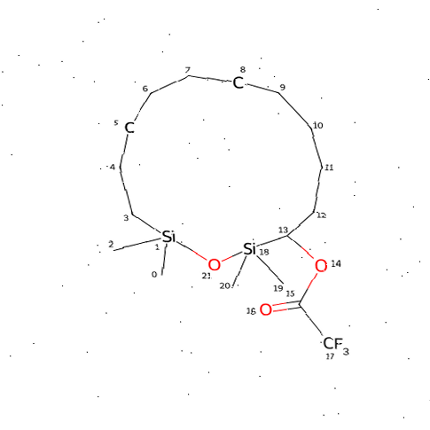 C[Si]1(C)CCCCCCCCCCC(OC(=O)C(F)(F)F)[Si](C)(C)O1